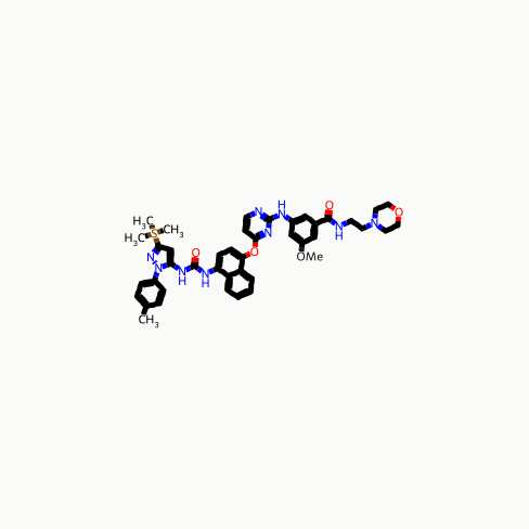 COc1cc(Nc2nccc(Oc3ccc(NC(=O)Nc4cc(S(C)(C)C)nn4-c4ccc(C)cc4)c4ccccc34)n2)cc(C(=O)NCCN2CCOCC2)c1